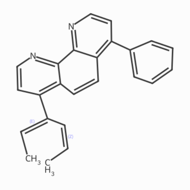 C/C=C\C(=C/C)c1ccnc2c1ccc1c(-c3ccccc3)ccnc12